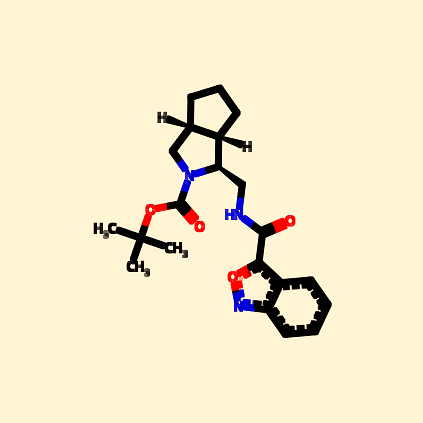 CC(C)(C)OC(=O)N1C[C@@H]2CCC[C@@H]2[C@H]1CNC(=O)c1onc2ccccc12